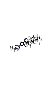 C/C=C(\C=N/C)c1ccc(C(=N)/C=C\COC2CC(C)(C)NC(C)(C)C2)c(C)c1